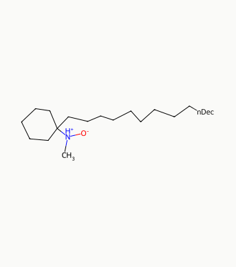 CCCCCCCCCCCCCCCCCCCC1([NH+](C)[O-])CCCCC1